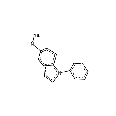 CC(C)(C)Nc1ccc2c(ccn2-c2cccnc2)c1